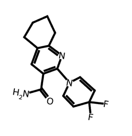 NC(=O)c1cc2c(nc1N1C=CC(F)(F)C=C1)CCCC2